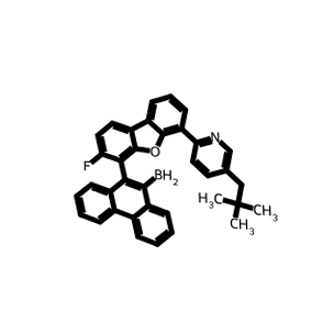 Bc1c(-c2c(F)ccc3c2oc2c(-c4ccc(CC(C)(C)C)cn4)cccc23)c2ccccc2c2ccccc12